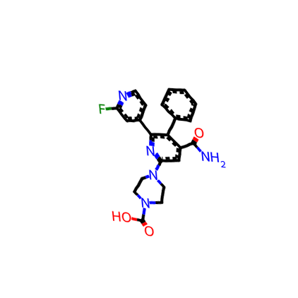 NC(=O)c1cc(N2CCN(C(=O)O)CC2)nc(-c2ccnc(F)c2)c1-c1ccccc1